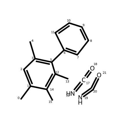 Cc1cc(C)c(-c2ccccc2)c(C)c1C.N=C=O.N=C=O